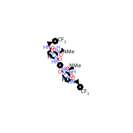 CN[C@@H](C)C(=O)N[C@H]1CN(C(=O)Nc2ccc(NC(=O)N3CC[C@H]4CC[C@@H](C(=O)N[C@H]5C[C@@H]5c5ccc(C(F)(F)F)cc5)N4C(=O)[C@H](NC(=O)[C@H](C)NC)C3)cc2)CC[C@H]2CC[C@@H](C(=O)N[C@H]3C[C@@H]3c3ccc(C(F)(F)F)cc3)N2C1=O